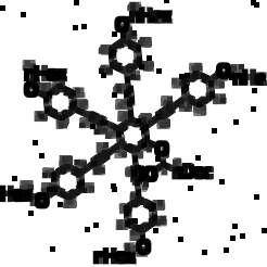 CCCCCCCCCCC(O)Oc1c(C#Cc2ccc(OCCCCCC)cc2)c(C#Cc2ccc(OCCCCCC)cc2)c(C#Cc2ccc(OCCCCCC)cc2)c(C#Cc2ccc(OCCCCCC)cc2)c1C#Cc1ccc(OCCCCCC)cc1